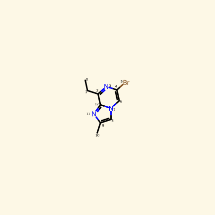 CCc1nc(Br)cn2cc(C)nc12